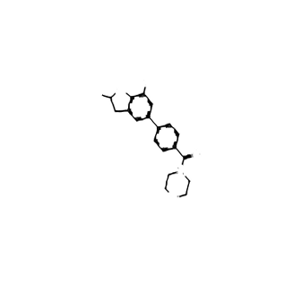 CCC1Cc2cc(-c3ccc(C(=O)N4CCOCC4)cc3)cc(Cl)c2O1